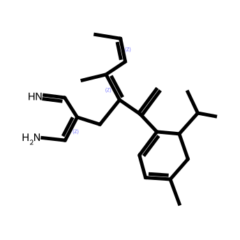 C=C(C1=CC=C(C)CC1C(C)C)/C(C/C(C=N)=C/N)=C(C)\C=C/C